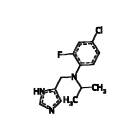 CC(C)N(Cc1cnc[nH]1)c1ccc(Cl)cc1F